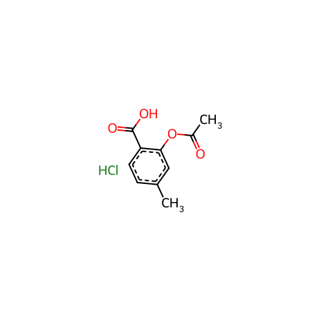 CC(=O)Oc1cc(C)ccc1C(=O)O.Cl